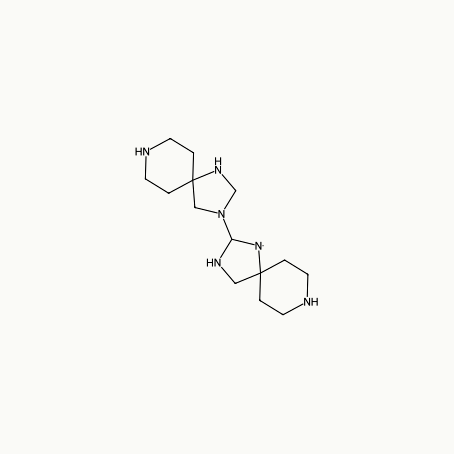 C1CC2(CCN1)CNC(N1CNC3(CCNCC3)C1)[N]2